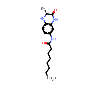 CC(C)[C@@H]1Nc2ccc(NC(=O)CCCCCCC(=O)O)cc2NC1=O